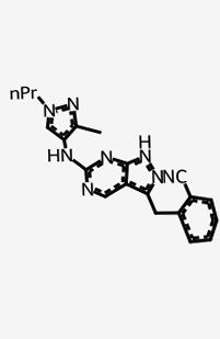 CCCn1cc(Nc2ncc3c(Cc4ccccc4C#N)n[nH]c3n2)c(C)n1